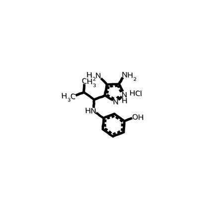 CC(C)C(Nc1cccc(O)c1)c1n[nH]c(N)c1N.Cl